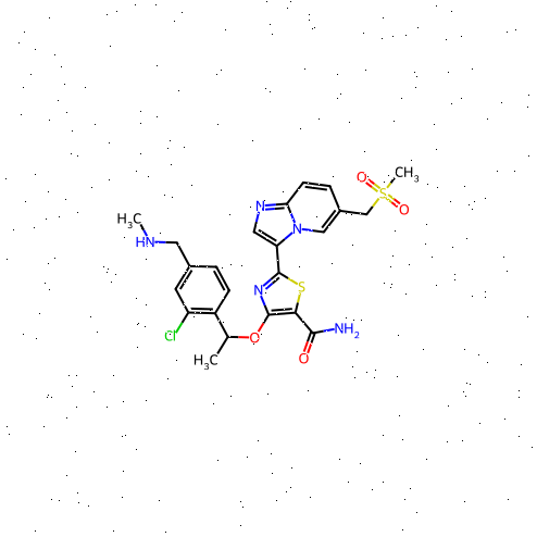 CNCc1ccc(C(C)Oc2nc(-c3cnc4ccc(CS(C)(=O)=O)cn34)sc2C(N)=O)c(Cl)c1